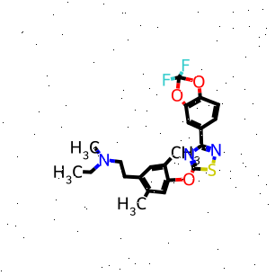 CCN(C)CCc1cc(C)c(Oc2nc(-c3ccc4c(c3)OC(F)(F)O4)ns2)cc1C